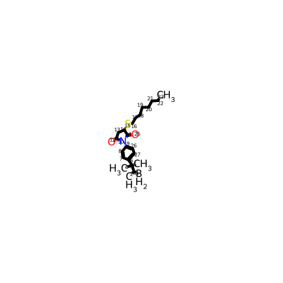 BC(C)C(C)(C)c1ccc(N2C(=O)CC(SCCCCCCCC)C2=O)cc1